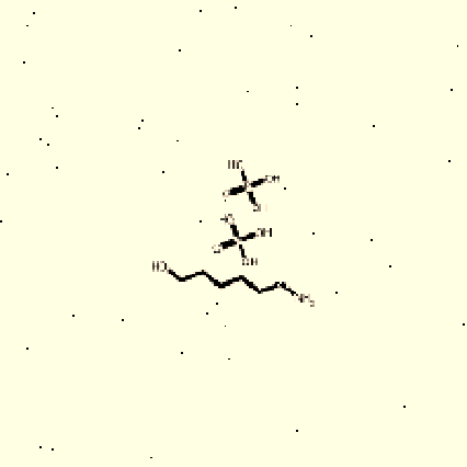 NCCCCCCO.O=P(O)(O)O.O=P(O)(O)O